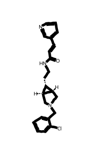 O=C(/C=C/c1cccnc1)NCC[C@@H]1[C@H]2CN(Cc3ccccc3Cl)C[C@@H]12